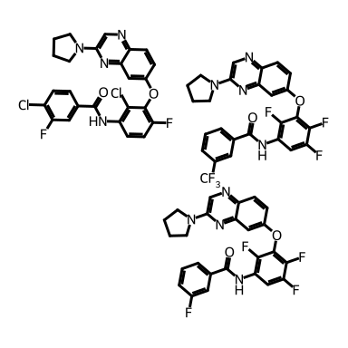 O=C(Nc1cc(F)c(F)c(Oc2ccc3ncc(N4CCCC4)nc3c2)c1F)c1cccc(C(F)(F)F)c1.O=C(Nc1cc(F)c(F)c(Oc2ccc3ncc(N4CCCC4)nc3c2)c1F)c1cccc(F)c1.O=C(Nc1ccc(F)c(Oc2ccc3ncc(N4CCCC4)nc3c2)c1Cl)c1ccc(Cl)c(F)c1